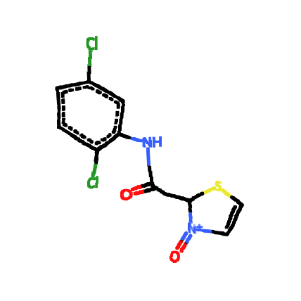 O=C(Nc1cc(Cl)ccc1Cl)C1SC=C[N+]1=O